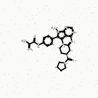 C=C(C)C(=O)Nc1ccc(-c2c3c4c(ncnc4n2C)N=C2C[C@@H](C(=O)N4CCCC4)CCN23)cc1